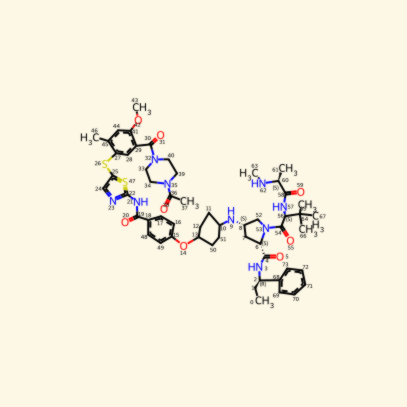 CC[C@@H](NC(=O)[C@@H]1C[C@H](NC2CCC(Oc3ccc(C(=O)Nc4ncc(Sc5cc(C(=O)N6CCN(C(C)=O)CC6)c(OC)cc5C)s4)cc3)CC2)CN1C(=O)[C@@H](NC(=O)[C@H](C)NC)C(C)(C)C)c1ccccc1